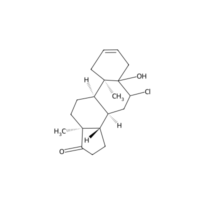 C[C@]12CC[C@@H]3[C@@H](CC(Cl)C4(O)CC=CC[C@]34C)[C@@H]1CCC2=O